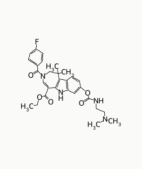 CCOC(=O)C1=CN(C(=O)c2ccc(F)cc2)CC(C)(C)c2c1[nH]c1cc(OC(=O)NCCN(C)C)ccc21